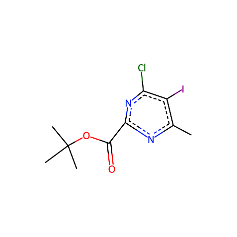 Cc1nc(C(=O)OC(C)(C)C)nc(Cl)c1I